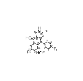 C[C@@H]1CN(C(c2ccc(F)cc2)c2ccc(F)cc2)[C@@H](CO)CN1.Cl